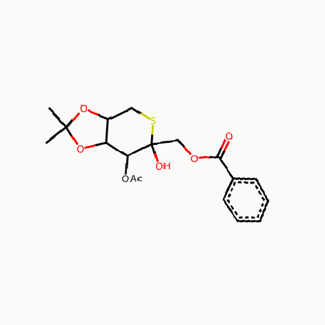 CC(=O)OC1C2OC(C)(C)OC2CSC1(O)COC(=O)c1ccccc1